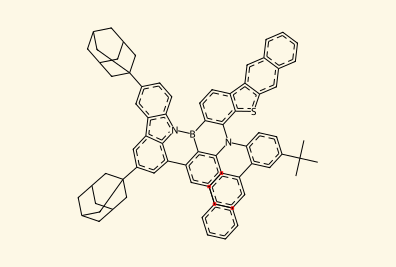 CC(C)(C)c1ccc(N2c3cc(-c4ccccc4)cc4c3B(c3ccc5c(sc6cc7ccccc7cc65)c32)n2c3ccc(C56CC7CC(CC(C7)C5)C6)cc3c3cc(C56CC7CC(CC(C7)C5)C6)cc-4c32)c(-c2ccccc2)c1